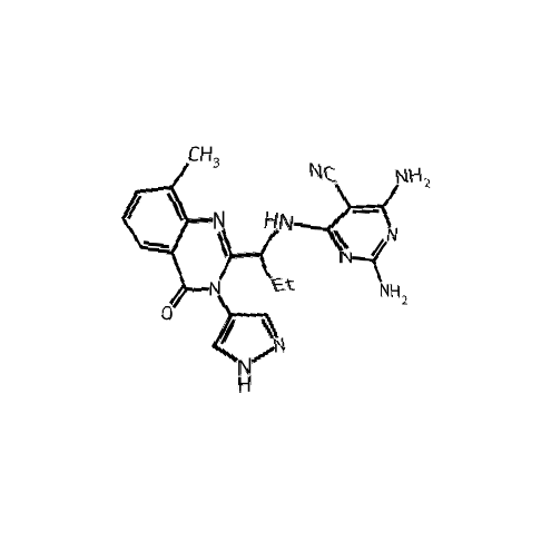 CCC(Nc1nc(N)nc(N)c1C#N)c1nc2c(C)cccc2c(=O)n1-c1cn[nH]c1